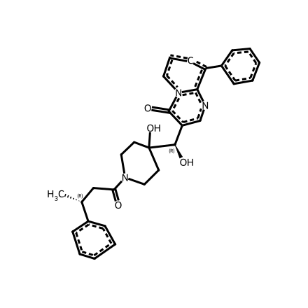 C[C@H](CC(=O)N1CCC(O)([C@H](O)c2cnc3c(-c4ccccc4)cccn3c2=O)CC1)c1ccccc1